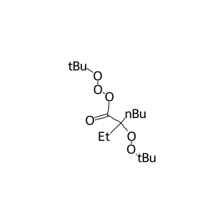 CCCCC(CC)(OOC(C)(C)C)C(=O)OOOC(C)(C)C